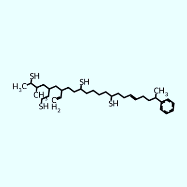 C=CC(CCC(S)CCCCC(S)CC/C=C/CCC(C)c1ccccc1)CC(CCS)CC(C)C(C)S